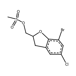 CS(=O)(=O)OCC1Cc2cc(Cl)cc(Br)c2O1